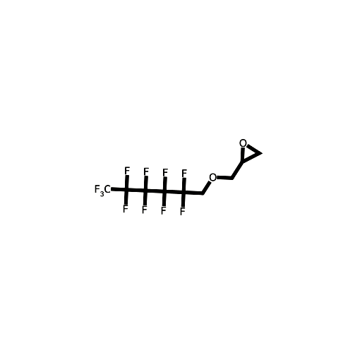 FC(F)(F)C(F)(F)C(F)(F)C(F)(F)C(F)(F)COCC1CO1